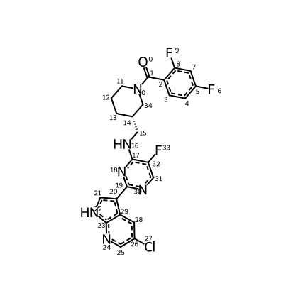 O=C(c1ccc(F)cc1F)N1CCC[C@@H](CNc2nc(-c3c[nH]c4ncc(Cl)cc34)ncc2F)C1